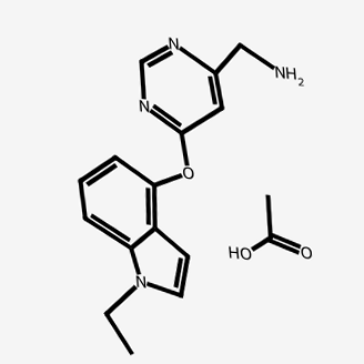 CC(=O)O.CCn1ccc2c(Oc3cc(CN)ncn3)cccc21